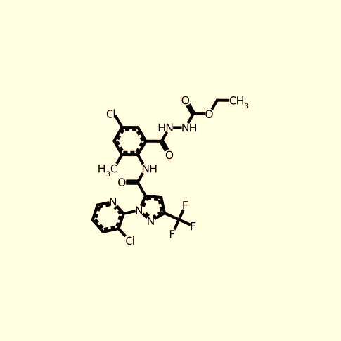 CCOC(=O)NNC(=O)c1cc(Cl)cc(C)c1NC(=O)c1cc(C(F)(F)F)nn1-c1ncccc1Cl